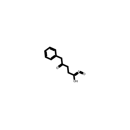 O=S=C(O)CCC(=O)Cc1ccccc1